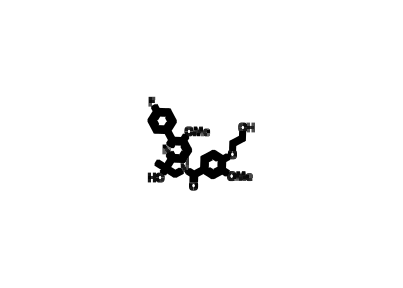 COc1cc(C(=O)NCC(C)(O)c2ccc(OC)c(-c3ccc(F)cc3)n2)ccc1OCCO